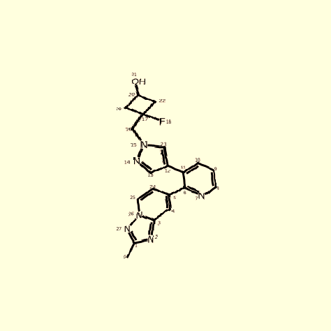 Cc1nc2cc(-c3ncccc3-c3cnn(CC4(F)CC(O)C4)c3)ccn2n1